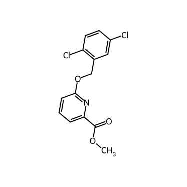 COC(=O)c1cccc(OCc2cc(Cl)ccc2Cl)n1